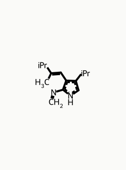 C=Nc1[nH]cc(C(C)C)c1/C=C(\C)C(C)C